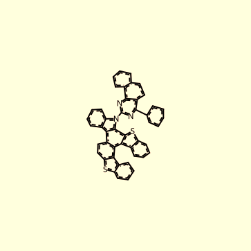 c1ccc(-c2nc(-n3c4ccccc4c4c5ccc6sc7ccccc7c6c5c5c6ccccc6sc5c43)nc3c2ccc2ccccc23)cc1